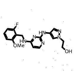 COc1cccc(F)c1CNc1ccnc(Nc2cnn(CCO)c2)n1